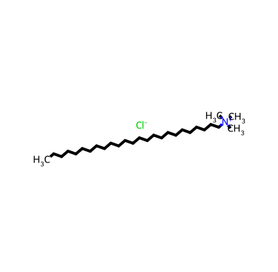 CCCCCCCCCCCCCCCCCCCCCCCCC[N+](C)(C)C.[Cl-]